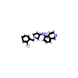 Clc1ccccc1CN1CCC(Nc2cccc3cnccc23)C1